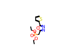 CCOP(=O)(Cc1nnc(-c2cccs2)o1)OCC